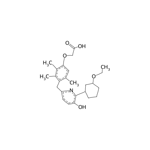 CCOC1CCCC(c2nc(Cc3c(C)cc(OCC(=O)O)c(C)c3C)ccc2O)C1